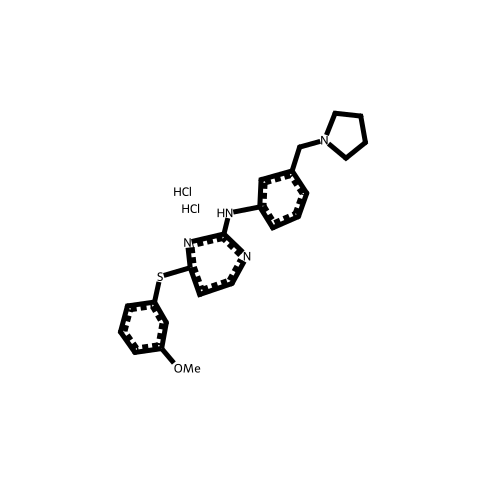 COc1cccc(Sc2ccnc(Nc3cccc(CN4CCCC4)c3)n2)c1.Cl.Cl